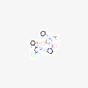 Cc1cccc(C)c1-c1cc(Cl)nc(NSc2cccc(C(=O)N3CC(O)CN(Cc4ccccc4)[C@@H](CC(C)C)C3)c2)n1